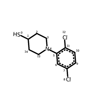 SC1CCN(c2cc(Cl)ccc2Cl)CC1